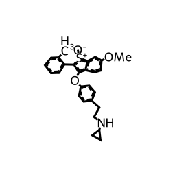 COc1ccc2c(Oc3ccc(CCNC4CC4)cc3)c(-c3ccccc3C)[s+]([O-])c2c1